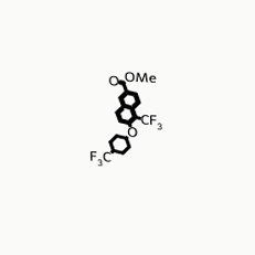 COC(=O)c1ccc2c(C(F)(F)F)c(OC3CCC(C(F)(F)F)CC3)ccc2c1